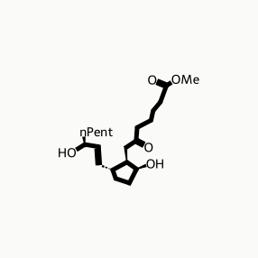 CCCCC[C@H](O)/C=C/[C@H]1CC[C@H](O)[C@@H]1CC(=O)CCCCC(=O)OC